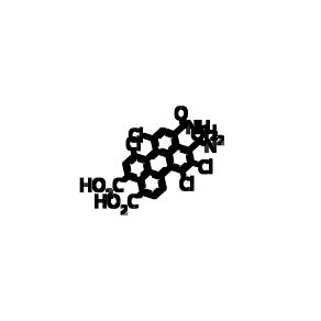 NC(=O)c1cc(Cl)c2c3c(Cl)cc(C(=O)O)c4c(C(=O)O)ccc(c5c(Cl)c(Cl)c(C(N)=O)c1c52)c43